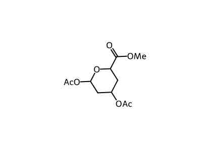 COC(=O)C1CC(OC(C)=O)CC(OC(C)=O)O1